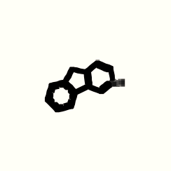 [C]1=[CH][GeH]=[CH]C2=C1Cc1ccccc12